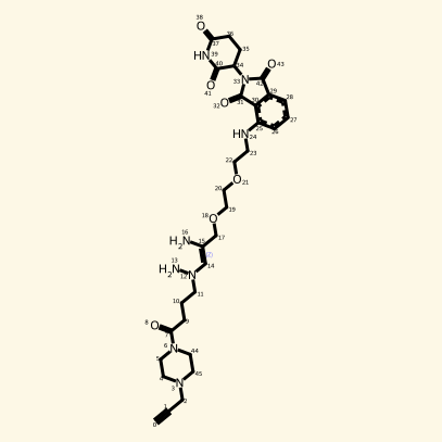 C#CCN1CCN(C(=O)CCCN(N)/C=C(\N)COCCOCCNc2cccc3c2C(=O)N(C2CCC(=O)NC2=O)C3=O)CC1